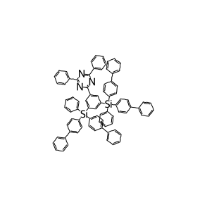 c1ccc(-c2ccc([Si](c3ccccc3)(c3ccc(-c4ccccc4)cc3)c3cc(-c4nc(-c5ccccc5)nc(-c5ccccc5)n4)cc([Si](c4ccccc4)(c4ccc(-c5ccccc5)cc4)c4ccc(-c5ccccc5)cc4)c3)cc2)cc1